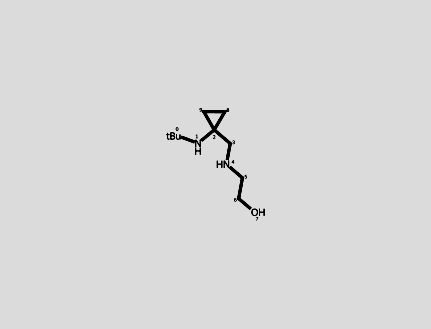 CC(C)(C)NC1(CNCCO)CC1